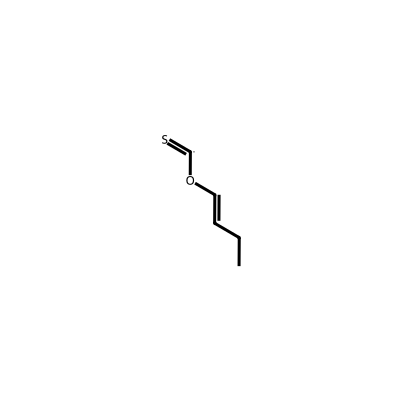 CC/C=C/O[C]=S